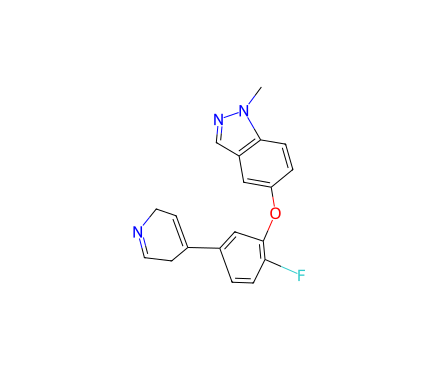 Cn1ncc2cc(Oc3cc(C4=CCN=CC4)ccc3F)ccc21